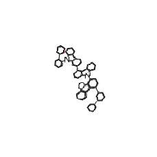 c1ccc(-c2cccc(-c3ccc(-n4c5ccccc5c5c(-c6ccc7c8ccccc8n(-c8ccccc8-c8ccccc8)c7c6)cccc54)c4oc5ccccc5c34)c2)cc1